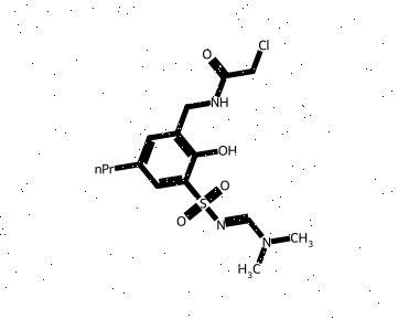 CCCc1cc(CNC(=O)CCl)c(O)c(S(=O)(=O)/N=C/N(C)C)c1